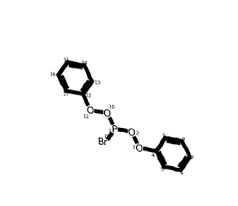 BrP(OOc1ccccc1)OOc1ccccc1